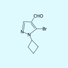 O=Cc1cnn(C2CCC2)c1Br